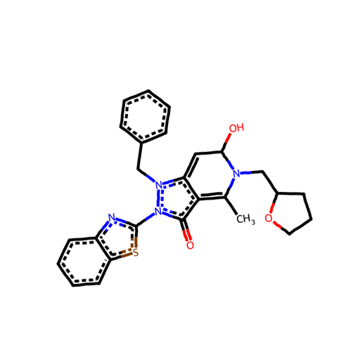 CC1=c2c(n(Cc3ccccc3)n(-c3nc4ccccc4s3)c2=O)=CC(O)N1CC1CCCO1